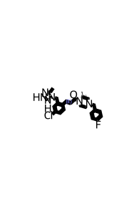 CC1=NNNN1Cc1cc(Cl)ccc1/C=C/C(=O)N1CCN(Cc2ccc(F)cc2)C[C@H]1C